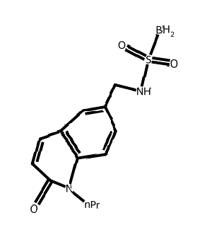 BS(=O)(=O)NCc1ccc2c(ccc(=O)n2CCC)c1